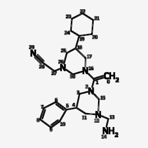 C=C(N1CC(c2ccccc2)CN(CN)C1)N1CC(C2CCCCC2)CN(CC#N)C1